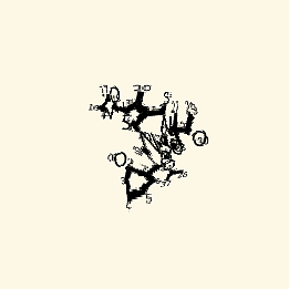 COc1ccccc1[C@H](CN1c2sc(-c3ncco3)c(C)c2C(=S)N(C(C)(C)C(C)=O)S1(=O)=O)OC(C)C